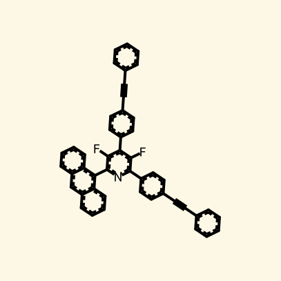 Fc1c(-c2ccc(C#Cc3ccccc3)cc2)nc(-c2c3ccccc3cc3ccccc23)c(F)c1-c1ccc(C#Cc2ccccc2)cc1